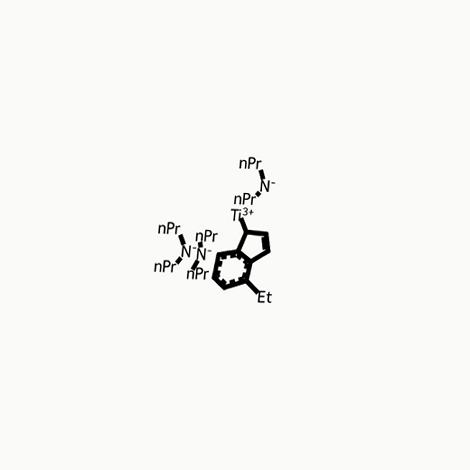 CCC[N-]CCC.CCC[N-]CCC.CCC[N-]CCC.CCc1cccc2c1C=C[CH]2[Ti+3]